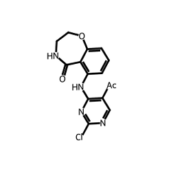 CC(=O)c1cnc(Cl)nc1Nc1cccc2c1C(=O)NCCO2